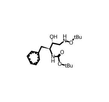 CC(C)(C)ONC[C@@H](O)[C@H](Cc1ccccc1)NC(=O)OC(C)(C)C